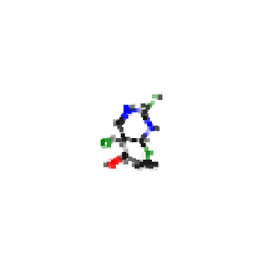 COC(=O)C1(Cl)C=NC(F)=NC1F